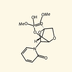 COC[C@@]12COC(C(n3ccccc3=O)O1)[C@@H]2OP(=O)(O)OC